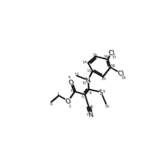 CCOC(=O)C(C#N)=C(SC)N(C)c1ccc(Cl)c(Cl)c1